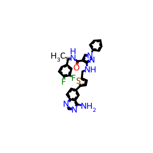 C[C@H](NC(=O)c1cn(-c2ccccc2)nc1NCc1ccc(-c2ccc3ncnc(N)c3c2)s1)c1ccc(F)c(F)c1